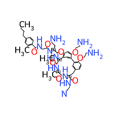 CCCCc1ccc(C(=O)NCC(=O)N[C@@H](CCN)C(=O)N(C)[C@@H]2C(=O)N[C@@H](C)C(=O)N[C@H](C(=O)NCC#N)Cc3ccc(OCCN)c(c3)-c3cc2ccc3OCCN)c(C)c1